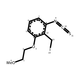 COCCOc1cccc(N=C=S)c1CI